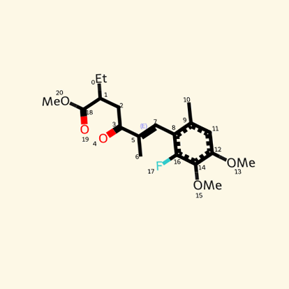 CCC(CC(=O)/C(C)=C/c1c(C)cc(OC)c(OC)c1F)C(=O)OC